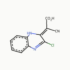 N#CC(C(=O)O)=C1Nc2ccccc2N=C1Cl